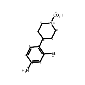 CCc1cc(N)ccc1C1CCN(C(=O)O)CC1